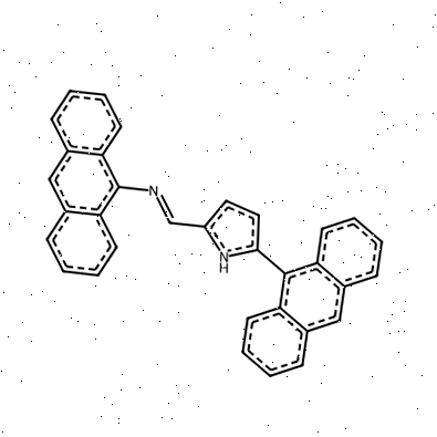 C(=N\c1c2ccccc2cc2ccccc12)/c1ccc(-c2c3ccccc3cc3ccccc23)[nH]1